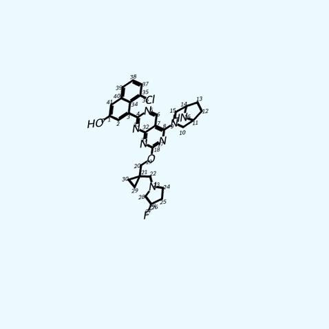 Oc1cc(-c2ncc3c(N4CC5CCC(C4)N5)nc(OCC4(CN5CC[C@@H](F)C5)CC4)nc3n2)c2c(Cl)cccc2c1